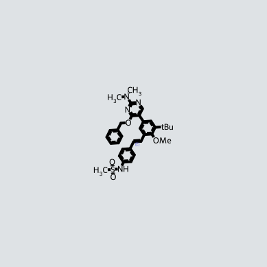 COc1c(/C=C/c2ccc(NS(C)(=O)=O)cc2)cc(-c2cnc(N(C)C)nc2OCc2ccccc2)cc1C(C)(C)C